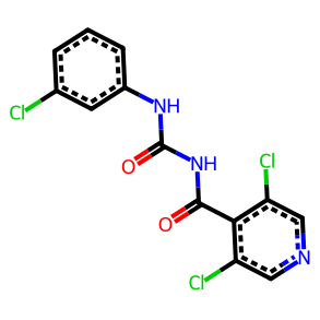 O=C(NC(=O)c1c(Cl)cncc1Cl)Nc1cccc(Cl)c1